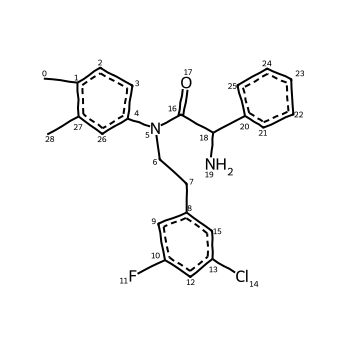 Cc1ccc(N(CCc2cc(F)cc(Cl)c2)C(=O)C(N)c2ccccc2)cc1C